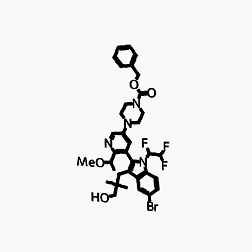 COC(C)c1ncc(N2CCN(C(=O)OCc3ccccc3)CC2)cc1-c1c(CC(C)(C)CO)c2cc(Br)ccc2n1C(F)C(F)F